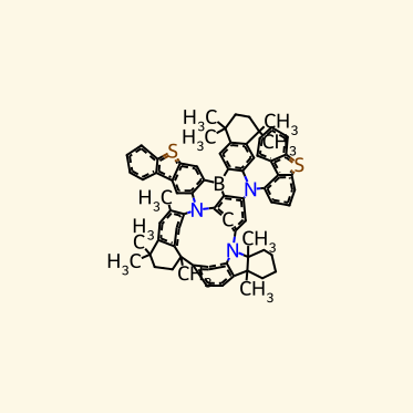 Cc1cc2c3cc1N1c4cc5c(cc4B4c6cc7c(cc6N(c6cccc8sc9ccccc9c68)c6cc(cc1c64)N1c4cc(ccc4C4(C)CCCCC14C)C3(C)CCC2(C)C)C(C)(C)CCC7(C)C)sc1ccccc15